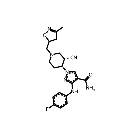 CC1=NOC(CN2CC[C@H](n3cc(C(N)=O)c(Nc4ccc(F)cc4)n3)[C@@H](C#N)C2)C1